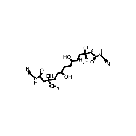 CC(C)(CCC(O)CCC(O)CCC(C)(C)CC(=O)NC#N)CC(=O)NC#N